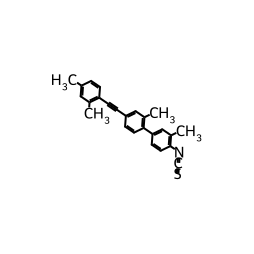 Cc1ccc(C#Cc2ccc(-c3ccc(N=C=S)c(C)c3)c(C)c2)c(C)c1